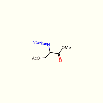 COC(=O)C(COC(C)=O)N=[N+]=[N-]